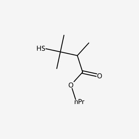 CCCOC(=O)C(C)C(C)(C)S